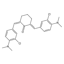 CN(C)c1ccc(/C=C2/CCC/C(=C\c3ccc(N(C)C)c(Cl)c3)C2=O)cc1Cl